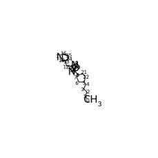 CCCCCC1CCC(c2nc(Cc3cccnc3)no2)CC1